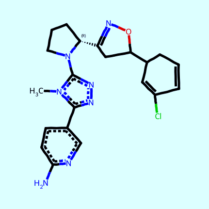 Cn1c(-c2ccc(N)nc2)nnc1N1CCC[C@@H]1C1=NOC(C2C=C(Cl)C=CC2)C1